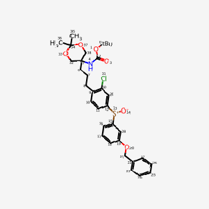 CC(C)(C)OC(=O)NC1(CCCc2ccc([S+]([O-])c3cccc(OCc4ccccc4)c3)cc2Cl)COC(C)(C)OC1